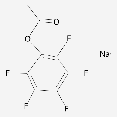 CC(=O)Oc1c(F)c(F)c(F)c(F)c1F.[Na]